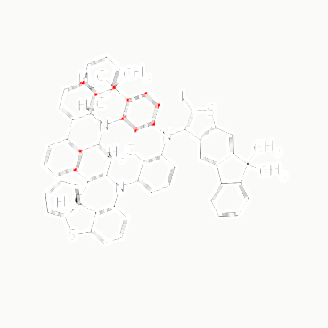 Cc1ccc(N(c2ccccc2-c2ccccc2)c2ccccc2-c2ccccc2)cc1N(c1cccc(N(c2ccc(C(C)(C)C)cc2)c2c(I)sc3cc4c(cc23)-c2ccccc2C4(C)C)c1C)c1cccc2sc3ccccc3c12